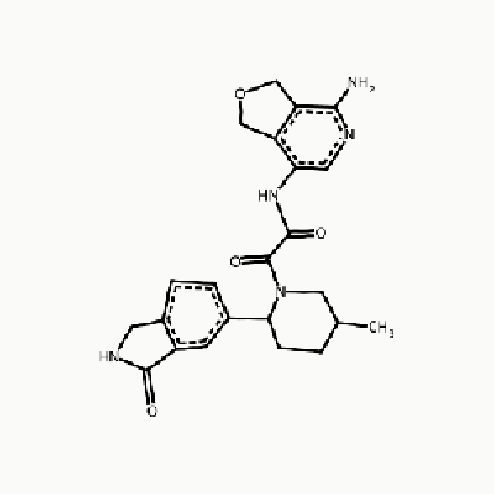 CC1CCC(c2ccc3c(c2)C(=O)NC3)N(C(=O)C(=O)Nc2cnc(N)c3c2COC3)C1